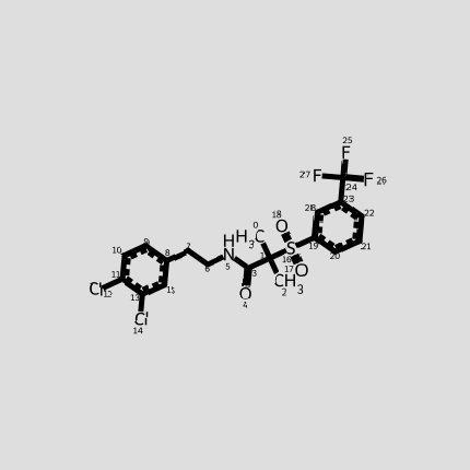 CC(C)(C(=O)NCCc1ccc(Cl)c(Cl)c1)S(=O)(=O)c1cccc(C(F)(F)F)c1